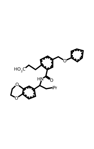 CC(C)CC(NC(=O)c1cc(COc2ccccc2)ccc1CCC(=O)O)c1ccc2c(c1)OCCO2